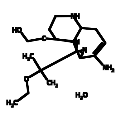 CCOC(C)(C)C1N=C2C(N)=CCC3NCCCC23N1CCO.O